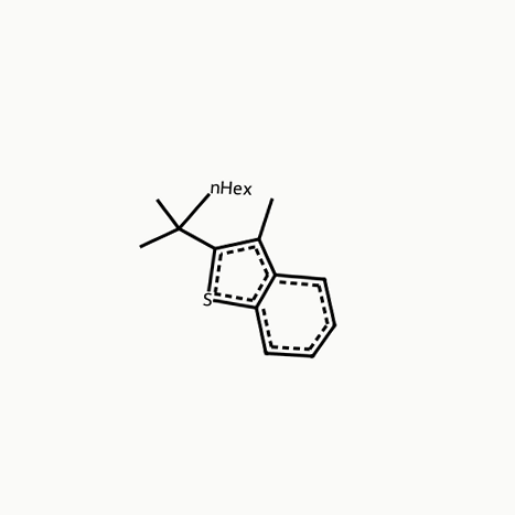 CCCCCCC(C)(C)c1sc2ccccc2c1C